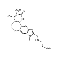 CNCCNCc1cc2cc3c(cc2n1C)OCCc1c-3[nH]c(=O)c(C(=O)O)c1O